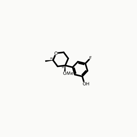 CO[C@]1(c2cc(O)cc(F)c2)CCO[C@H](C)C1